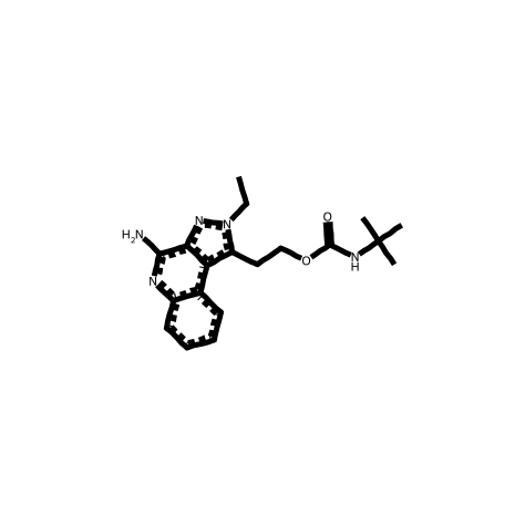 CCn1nc2c(N)nc3ccccc3c2c1CCOC(=O)NC(C)(C)C